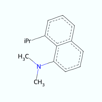 CC(C)c1cccc2cccc(N(C)C)c12